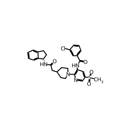 CS(=O)(=O)c1cnc(N2CCC(CC(=O)N[C@H]3CCc4ccccc43)CC2)c(NC(=O)c2cccc(Cl)c2)c1